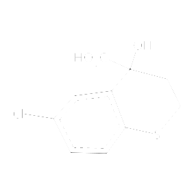 O=C(O)C1(O)CCSc2ccc(Cl)cc21